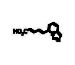 O=C(O)C=CC=Cc1cccc2cncn12